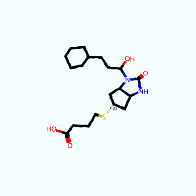 O=C(O)CCCS[C@H]1CC2NC(=O)N(C(O)CCC3CCCCC3)C2C1